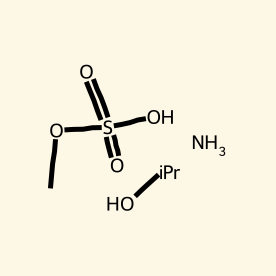 CC(C)O.COS(=O)(=O)O.N